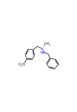 C[C@@H](Cc1ccc([N+](=O)[O-])cc1)NCc1ccccc1